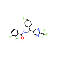 O=C(NCC(c1cnc(C(F)(F)F)nc1)C1CCC(F)(F)CC1)c1cccc(F)c1Cl